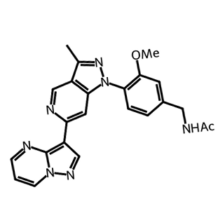 COc1cc(CNC(C)=O)ccc1-n1nc(C)c2cnc(-c3cnn4cccnc34)cc21